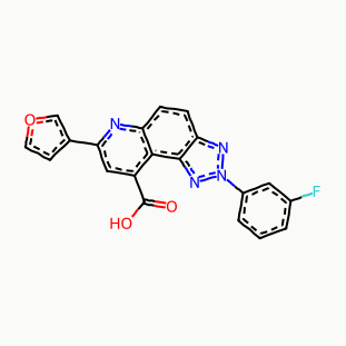 O=C(O)c1cc(-c2ccoc2)nc2ccc3nn(-c4cccc(F)c4)nc3c12